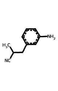 CC(C#N)Cc1cccc(N)c1